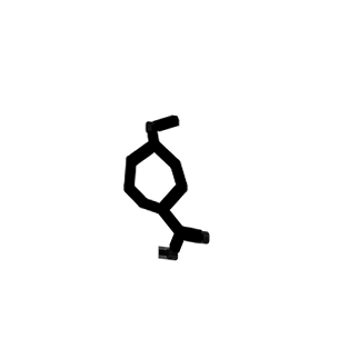 COC1CCCC(C(=O)O)CC1